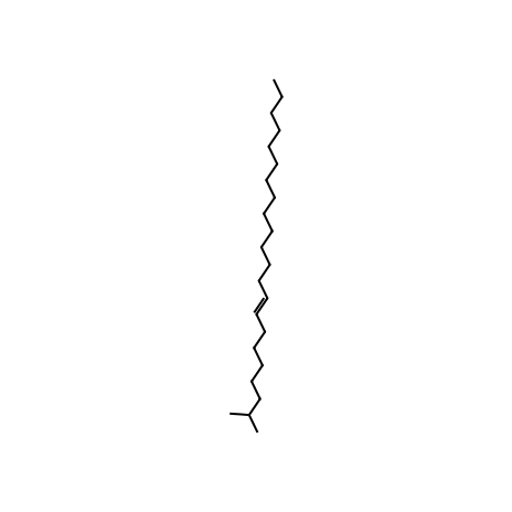 CCCCCCCCCCCCCC=CCCCCCC(C)C